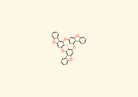 c1ccc2c(c1)oc1cc3c4c(c12)Oc1cc2oc5ccccc5c2c2c1B4c1c(cc4oc5ccccc5c4c1O3)O2